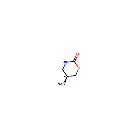 CO[C@H]1CNC(=O)OC1